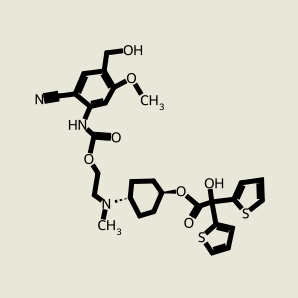 COc1cc(NC(=O)OCCN(C)[C@H]2CC[C@H](OC(=O)C(O)(c3cccs3)c3cccs3)CC2)c(C#N)cc1CO